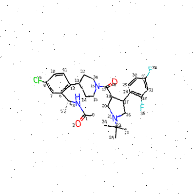 CC(=O)N[C@H](C)c1cc(Cl)ccc1C1CCN(C(=O)C2CN(C(C)(C)C)CC2c2ccc(F)cc2F)CC1